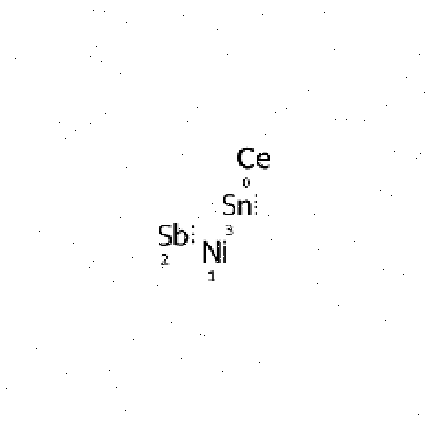 [Ce].[Ni].[Sb].[Sn]